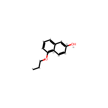 CCCOc1cccc2cc(O)ccc12